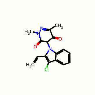 C=Cc1c(Cl)c2ccccc2n1C1C(=O)C(C)=NN(C)C1=O